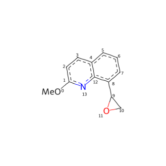 COc1ccc2cccc(C3CO3)c2n1